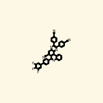 N#Cc1ccc(-c2nc3cc(C#N)c4c(-c5ccc(-c6cc(F)c(F)c(F)c6)cc5)nc5ccccc5c4c3nc2-c2ccc(C#N)cc2)cc1